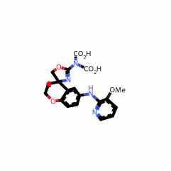 COc1cccnc1Nc1ccc2c(c1)C1(COC(N(C(=O)O)C(=O)O)=N1)C1(COC1)CO2